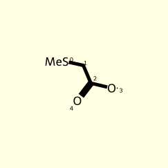 CSCC([O])=O